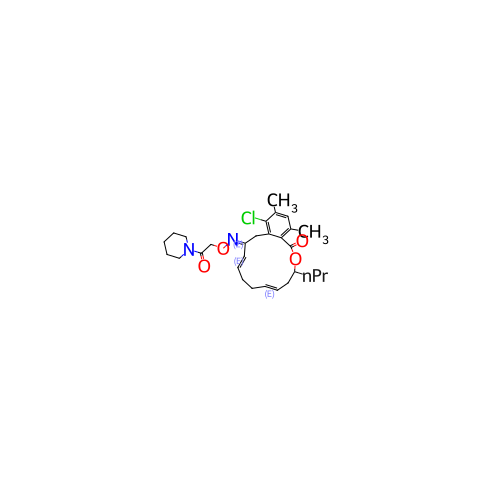 CCCC1C/C=C/CC/C=C/C(=N\OCC(=O)N2CCCCC2)Cc2c(Cl)c(C)cc(C)c2C(=O)O1